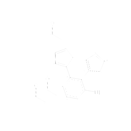 CC[O-].CC[O-].CC[O-].[Hf+3][c]1cccc(C2=CC=CC2)c1C1=CC=CC1